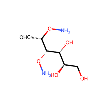 NO[C@@H]([C@H](O)[C@H](O)CO)[C@H](C=O)ON